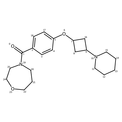 O=C(c1ccc(OC2CC(N3CCCCC3)C2)cc1)N1CCCOCC1